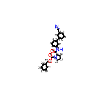 N#Cc1cccc(-c2cccc(NC(=O)[C@@H]3CCCN3C(=O)OCc3ccccc3)c2)c1